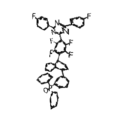 O=P(c1ccccc1)(c1ccccc1)c1cccc(-c2ccc(-c3c(F)c(F)c(-c4nc(-c5ccc(F)cc5)nc(-c5ccc(F)cc5)n4)c(F)c3F)c3ccccc23)c1